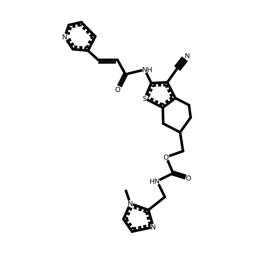 Cn1ccnc1CNC(=O)OCC1CCc2c(sc(NC(=O)C=Cc3cccnc3)c2C#N)C1